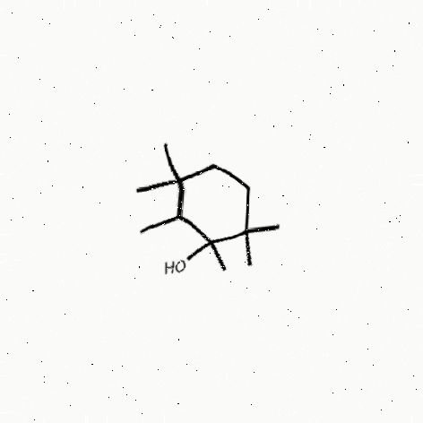 CC1C(C)(C)CCC(C)(C)C1(C)O